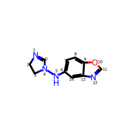 C1=NCCN1Nc1ccc2ocnc2c1